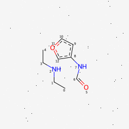 CCNCC.O=CNc1ccoc1